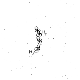 C=C(F)C(=O)Oc1ccc(/C=C/C(=O)Sc2ccc(OC(=O)C(=C)CC(=O)OC3CCCCC3)cc2)c(F)c1